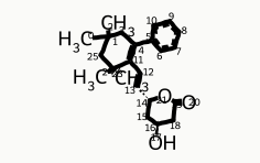 CC1(C)CC(c2ccccc2)=C(C=C[C@H]2C[C@H](O)CC(=O)O2)C(C)(C)C1